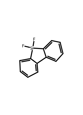 F[Si]1(F)c2ccccc2-c2ccccc21